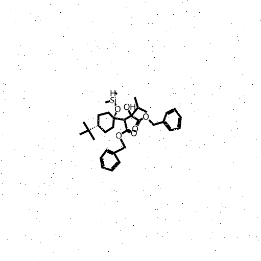 CC(C)C(O)(C(=O)OCc1ccccc1)C(C(=O)OCc1ccccc1)[C@]1(O[SiH](C)C)CC[C@H](C(C)(C)C)CC1